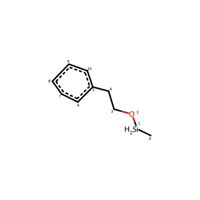 C[SiH2]OCCc1ccccc1